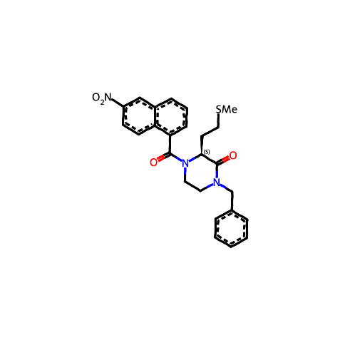 CSCC[C@H]1C(=O)N(Cc2ccccc2)CCN1C(=O)c1cccc2cc([N+](=O)[O-])ccc12